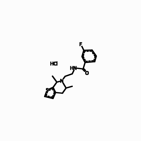 CC1Cc2ccsc2C(C)N1CCNC(=O)c1cccc(F)c1.Cl